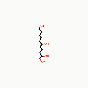 OCCCCCC(O)CCCC(O)CO